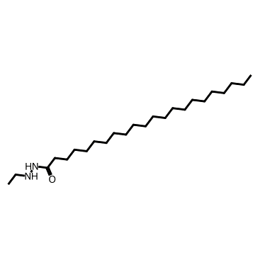 CCCCCCCCCCCCCCCCCCCCCC(=O)NNCC